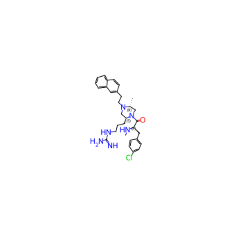 CN[C@H](Cc1ccc(Cl)cc1)C(=O)N1C[C@@H](C)N(CCc2ccc3ccccc3c2)C[C@@H]1CCCNC(=N)N